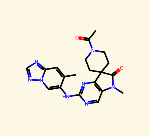 CC(=O)N1CCC2(CC1)C(=O)N(C)c1cnc(Nc3cn4ncnc4cc3C)nc12